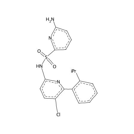 CC(C)c1ccccc1-c1nc(NS(=O)(=O)c2cccc(N)n2)ccc1Cl